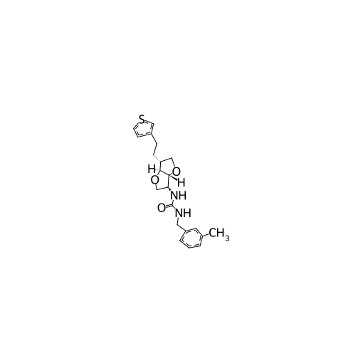 Cc1cccc(CNC(=O)N[C@H]2CO[C@H]3[C@H](CCc4ccsc4)CO[C@@H]32)c1